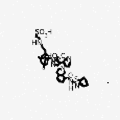 Cc1c(-c2c(N3CCc4cccc(C(=O)Nc5nc6ccccc6s5)c4C3)ccnc2C(=O)O)cnn1CC12CC3(C)CC(C)(CC(CCCNCCS(=O)(=O)O)(C3)C1)C2